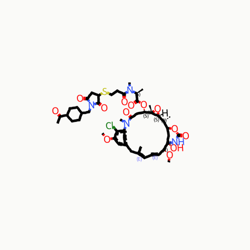 COc1cc2cc(c1Cl)N(C)C(=O)C[C@H](OC(=O)[C@H](C)N(C)C(=O)CCSC1CC(=O)N(CC3CCC(C(C)=O)CC3)C1=O)[C@]1(C)O[C@H]1[C@H](C)C1C[C@@](O)(NC(=O)O1)[C@H](OC)/C=C/C=C(\C)C2